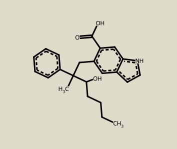 CCCCC(O)C(C)(Cc1cc2cc[nH]c2cc1C(=O)O)c1ccccc1